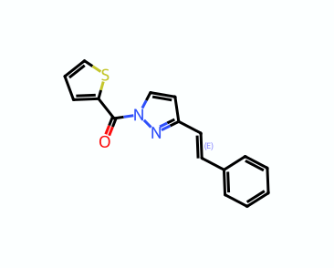 O=C(c1cccs1)n1ccc(/C=C/c2ccccc2)n1